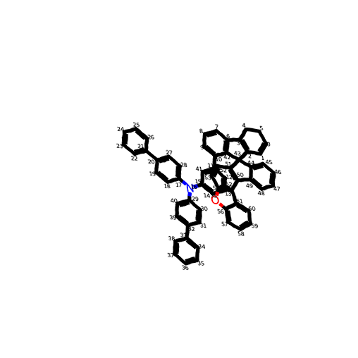 C1=CC2=C(CC1)c1cccc(-c3cccc(N(c4ccc(-c5ccccc5)cc4)c4ccc(-c5ccccc5)cc4)c3)c1C21c2ccccc2-c2c1ccc1oc3ccccc3c21